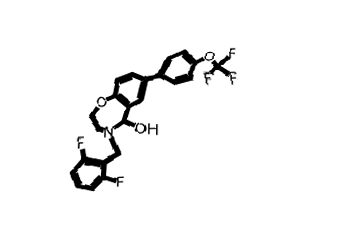 OC1c2cc(-c3ccc(OC(F)(F)F)cc3)ccc2OCCN1Cc1c(F)cccc1F